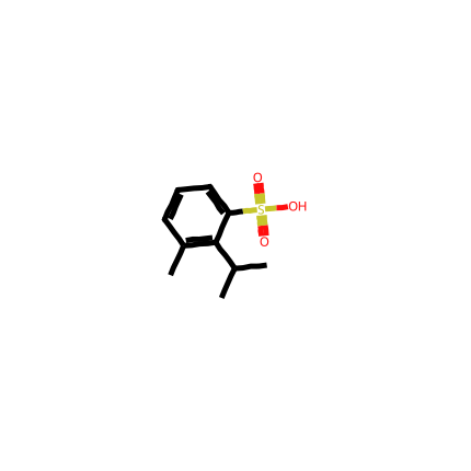 Cc1cccc(S(=O)(=O)O)c1C(C)C